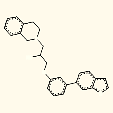 OC(COc1cccc(-c2ccc3ccoc3c2)c1)CN1CCc2ccccc2C1